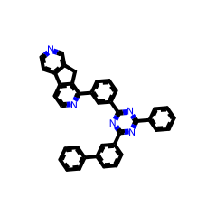 c1ccc(-c2cccc(-c3nc(-c4ccccc4)nc(-c4cccc(-c5nccc6c5Cc5cnccc5-6)c4)n3)c2)cc1